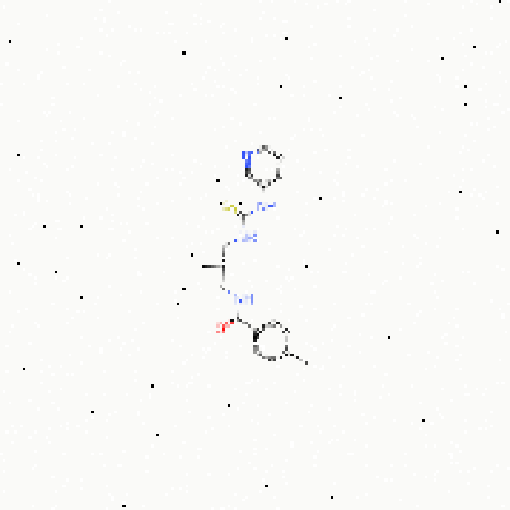 Cc1ccc(C(=O)NCC(C)(C)CNC(=S)Nc2cccnc2)cc1